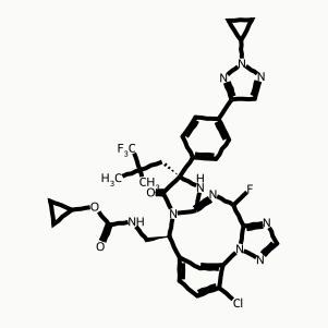 CC(C)(C[C@]1(c2ccc(-c3cnn(C4CC4)n3)cc2)N/C2=N\C(F)c3ncnn3-c3cc(ccc3Cl)[C@@H](CNC(=O)OC3CC3)N2C1=O)C(F)(F)F